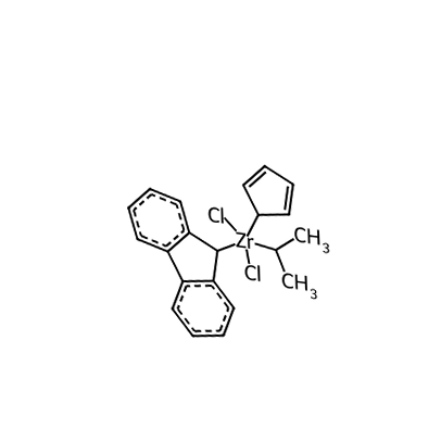 C[CH](C)[Zr]([Cl])([Cl])([CH]1C=CC=C1)[CH]1c2ccccc2-c2ccccc21